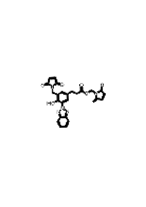 C=C1C=CC(=O)N1COC(=O)CCc1cc(CN2C(=O)C=CC2=O)c(O)c(-n2nc3ccccc3n2)c1